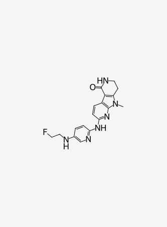 Cn1c2c(c3ccc(Nc4ccc(NCCF)cn4)nc31)C(=O)NCC2